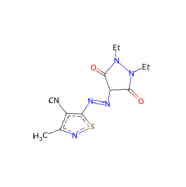 [C-]#[N+]c1c(C)nsc1/N=N/C1C(=O)N(CC)N(CC)C1=O